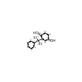 CCC(CC)(c1ccccc1)c1cc(O)ccc1O